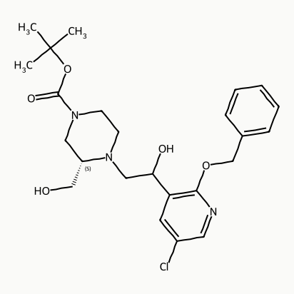 CC(C)(C)OC(=O)N1CCN(CC(O)c2cc(Cl)cnc2OCc2ccccc2)[C@H](CO)C1